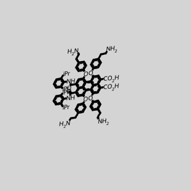 CC(C)c1cccc(C(C)C)c1NC(=O)c1cc(Oc2ccc(CCN)cc2)c2c3c(Oc4ccc(CCN)cc4)cc(C(=O)O)c4c(C(=O)O)cc(Oc5ccc(CCN)cc5)c(c5c(Oc6ccc(CCN)cc6)cc(C(=O)Nc6c(C(C)C)cccc6C(C)C)c1c25)c43